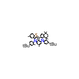 Cc1cc2c3c(c1)N(c1ccc(C(C)(C)C)cc1C)c1c(sc4ccc(C)cc14)B3c1ccc3c4c1N2c1ccc(C(C)(C)C)cc1C4(C)CCC3(C)C